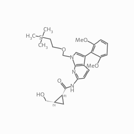 COc1cccc(OC)c1-c1cn(COCC[Si](C)(C)C)c2nc(NC(=O)[C@@H]3C[C@@H]3CO)ccc12